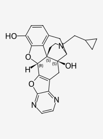 Oc1ccc2c3c1O[C@H]1c4oc5nccnc5c4C[C@@]4(O)C(C2)N(CC2CC2)CC[C@]314